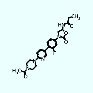 CCC(=O)NC1CN(c2ccc(-c3ccc(N4CCN(C(C)=O)CC4)nc3)c(F)c2)C(=O)O1